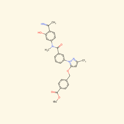 CC(=N)c1ccc(N(C)C(=O)c2cccc(-n3nc(C(F)(F)F)cc3OCc3ccc(C(=O)OC(C)(C)C)cc3)c2)cc1O